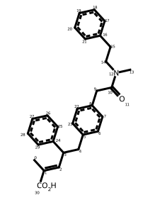 CC(=CC(Cc1ccc(CC(=O)N(C)CCc2ccccc2)cc1)c1ccccc1)C(=O)O